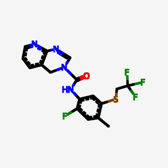 Cc1cc(F)c(NC(=O)N2C=Nc3ncccc3C2)cc1SCC(F)(F)F